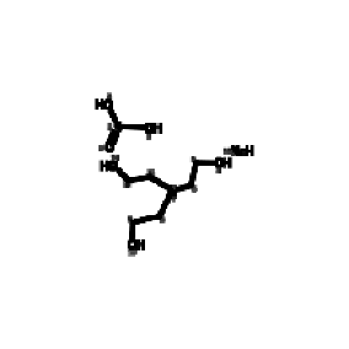 O=S(O)O.OCCN(CCO)CCO.[NaH]